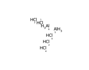 Cl.Cl.Cl.Cl.Cl.[AlH3].[AlH3]